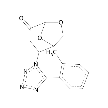 Cc1ccccc1-c1nnnn1C1CC(=O)C2OCC1O2